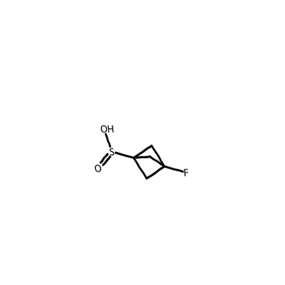 O=S(O)C12CC(F)(C1)C2